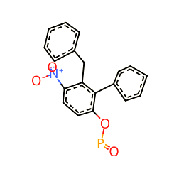 O=POc1ccc([N+](=O)[O-])c(Cc2ccccc2)c1-c1ccccc1